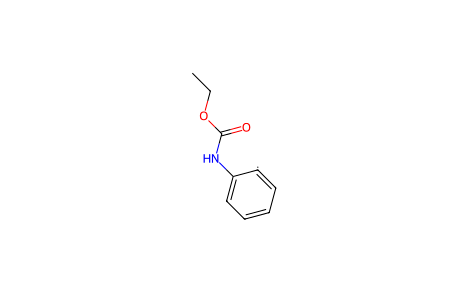 CCOC(=O)Nc1[c]cccc1